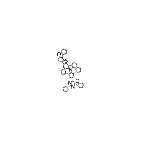 c1ccc(-c2nc(-c3cc(-c4ccccc4)c(-n4c5ccccc5c5c6sc7c(ccc8oc9ccccc9c87)c6ccc54)c(-c4ccccc4)c3)c3oc4ccccc4c3n2)cc1